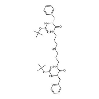 CC(C)(C)OC(=O)N[C@H](Cc1ccccc1)C(=O)NCCCNCCCNC(=O)[C@@H](Cc1ccccc1)NC(=O)OC(C)(C)C